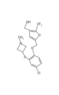 CN1CC(Oc2cc(Cl)ccc2OCc2cc(CO)c(C(F)(F)F)o2)C1